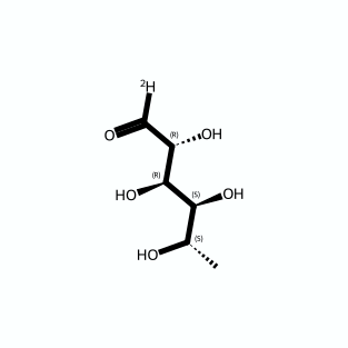 [2H]C(=O)[C@H](O)[C@H](O)[C@@H](O)[C@H](C)O